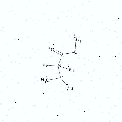 COC(=O)C(F)(F)C(C)C